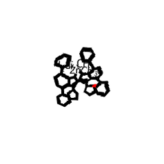 [CH3][Zr]([CH3])(=[SiH2])([CH]1C(CC2CCCC2)=Cc2c(-c3ccccc3)ccc(-c3ccccc3)c21)[CH]1C(CC2CCCC2)=Cc2c(-c3ccccc3)ccc(-c3ccccc3)c21